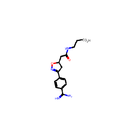 N=C(N)c1ccc(C2=NOC(CC(=O)NCCC(=O)O)C2)cc1